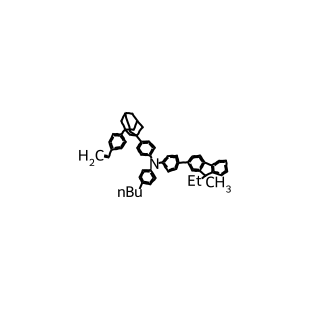 C=Cc1ccc(C23CC4CC(C2)CC(c2ccc(N(c5ccc(CCCC)cc5)c5ccc(-c6ccc7c(c6)C(C)(CC)c6ccccc6-7)cc5)cc2)(C4)C3)cc1